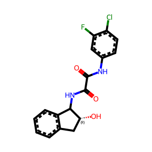 O=C(Nc1ccc(Cl)c(F)c1)C(=O)NC1c2ccccc2C[C@H]1O